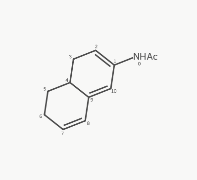 CC(=O)NC1=CCC2CCC=CC2=C1